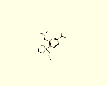 COCC1(c2ccc(C(C)C)nc2CN(C)C)CCOC1